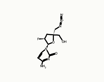 [N-]=[N+]=NC[C@@]1(CO)C[C@H](F)[C@H](n2ccc(N)nc2=O)O1